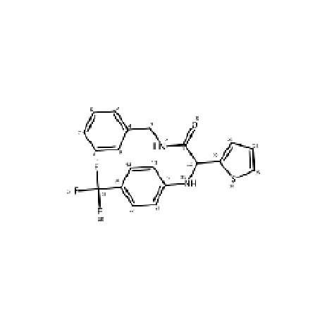 O=C(NCc1ccccc1)C(Nc1ccc(C(F)(F)F)cc1)c1cccs1